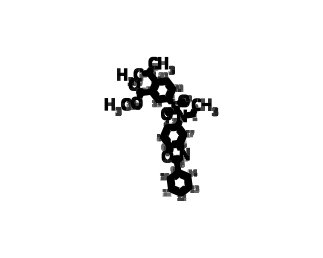 CCN(c1ccc2oc(-c3ccccc3)nc2c1)S(=O)(=O)c1ccc(C(C)C)c(C(=O)OC)c1